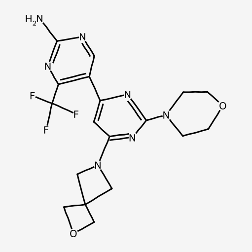 Nc1ncc(-c2cc(N3CC4(COC4)C3)nc(N3CCOCC3)n2)c(C(F)(F)F)n1